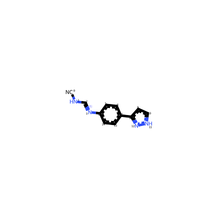 N#CN/C=N/c1ccc(-c2cc[nH]n2)cc1